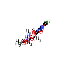 COc1cc(N2Cc3cn(-c4ccc(Cl)cc4)nc3C2=O)ccc1OCC(C)(C)OC(=O)CNC(=O)OC(C)(C)C